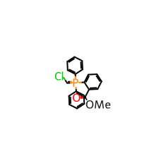 COC(=O)c1ccccc1P(=CCl)(c1ccccc1)c1ccccc1